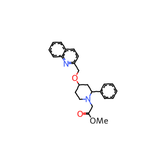 COC(=O)CN1CCC(OCc2ccc3ccccc3n2)CC1c1ccccc1